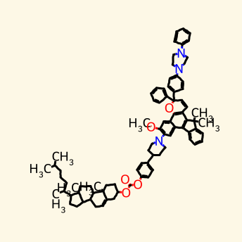 COc1cc2c3c(c4c(c2cc1N1CCC(c2ccc(OC(=O)OC5CCC6(C)C(=CCC7C6CCC6(C)C(C(C)CCCC(C)C)CCC76)C5)cc2)CC1)-c1ccccc1C4(C)C)C=CC(c1ccccc1)(c1ccc(N2CCN(c4ccccc4)CC2)cc1)O3